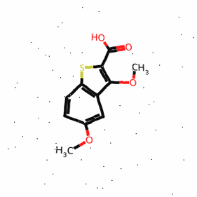 COc1ccc2sc(C(=O)O)c(OC)c2c1